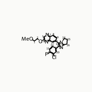 COCCOc1cnc2ccc(-c3c(-c4ccc(F)c(Cl)c4)nc4n3CCC4)cc2n1